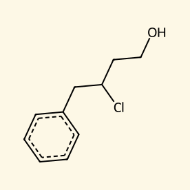 OCCC(Cl)Cc1ccccc1